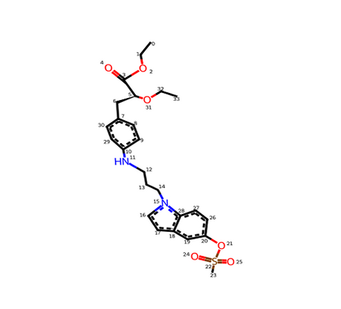 CCOC(=O)[C@H](Cc1ccc(NCCCn2ccc3cc(OS(C)(=O)=O)ccc32)cc1)OCC